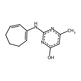 Cc1cc(O)nc(NC2=CCCCC=C2)n1